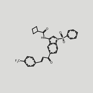 O=C(C=Cc1ccc(C(F)(F)F)cc1)c1ccc2c(c1)c(NC(=O)C1CCC1)cn2S(=O)(=O)c1ccccc1